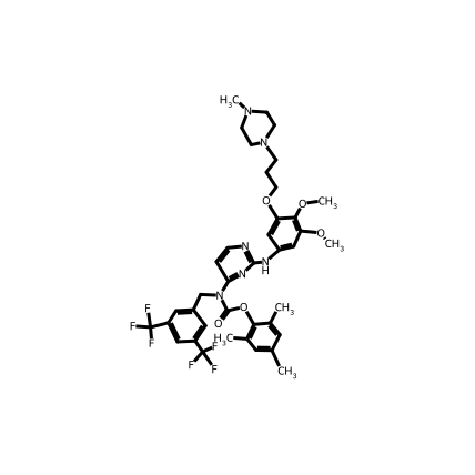 COc1cc(Nc2nccc(N(Cc3cc(C(F)(F)F)cc(C(F)(F)F)c3)C(=O)Oc3c(C)cc(C)cc3C)n2)cc(OCCCN2CCN(C)CC2)c1OC